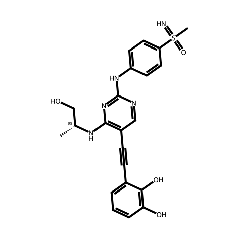 C[C@H](CO)Nc1nc(Nc2ccc(S(C)(=N)=O)cc2)ncc1C#Cc1cccc(O)c1O